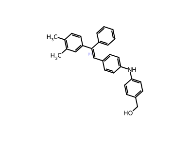 Cc1ccc(/C(=C/c2ccc(Nc3ccc(CO)cc3)cc2)c2ccccc2)cc1C